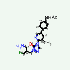 CC(=O)Nc1ccc(-c2cnc(-n3cnn(C/C(=C/F)CN)c3=O)c(C)c2)cc1